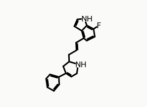 Fc1ccc(C=CCC2CC(c3ccccc3)=CCN2)c2cc[nH]c12